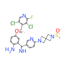 C[C@H](Oc1ccc(N)c(C(=N)c2ccc(N3CC4(C3)CN([S+](C)[O-])C4)nc2)c1)c1c(Cl)cnc(F)c1Cl